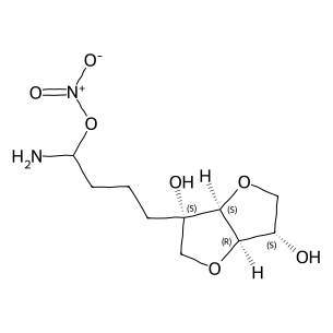 NC(CCC[C@]1(O)CO[C@@H]2[C@@H](O)CO[C@@H]21)O[N+](=O)[O-]